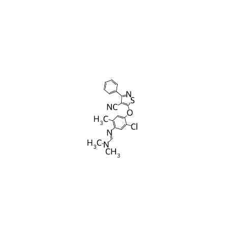 Cc1cc(Oc2snc(-c3ccccc3)c2C#N)c(Cl)cc1N=CN(C)C